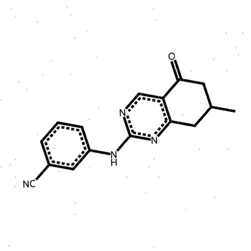 CC1CC(=O)c2cnc(Nc3cccc(C#N)c3)nc2C1